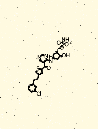 NS(=O)(=O)OC[C@H]1C[C@@H](Nc2ncncc2C(=O)c2cc(CCc3cccc(Cl)c3)cs2)C[C@@H]1O